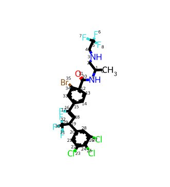 CC(CNCC(F)(F)F)NC(=O)c1ccc(/C(F)=C/C(c2cc(Cl)c(Cl)c(Cl)c2)C(F)(F)F)cc1Br